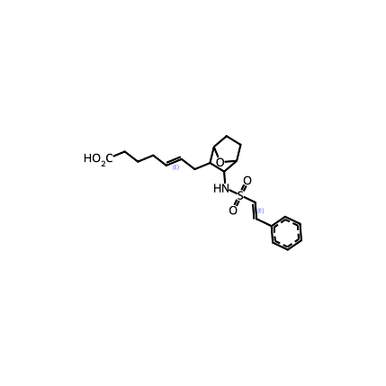 O=C(O)CCC/C=C/CC1C2CCC(O2)C1NS(=O)(=O)/C=C/c1ccccc1